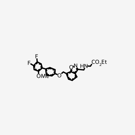 CCOC(=O)CNCc1noc2c(COc3ccc(-c4cc(F)c(F)cc4OC)cc3)cccc12